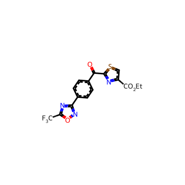 CCOC(=O)c1csc(C(=O)c2ccc(-c3noc(C(F)(F)F)n3)cc2)n1